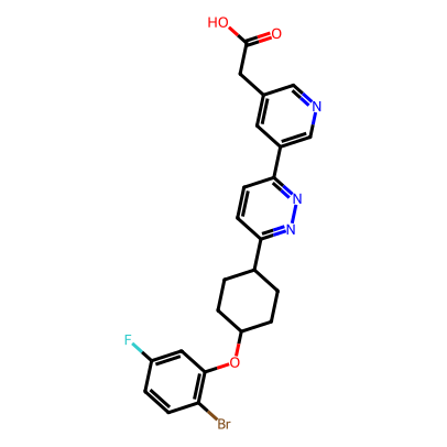 O=C(O)Cc1cncc(-c2ccc(C3CCC(Oc4cc(F)ccc4Br)CC3)nn2)c1